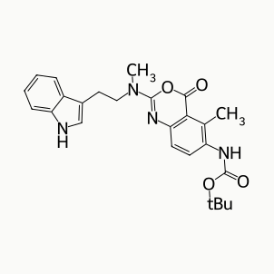 Cc1c(NC(=O)OC(C)(C)C)ccc2nc(N(C)CCc3c[nH]c4ccccc34)oc(=O)c12